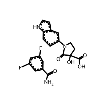 NC(=O)c1cc(F)cc(F)c1.O=C(O)C1(O)CCN(c2ccc3[nH]ccc3c2)C1=O